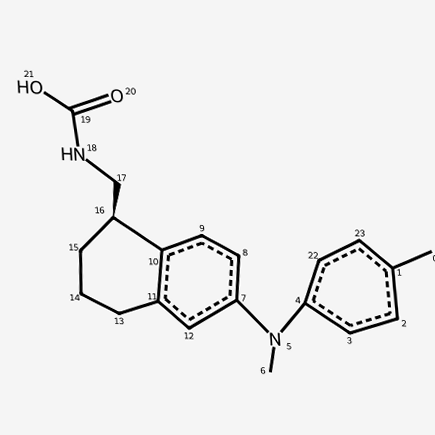 Cc1ccc(N(C)c2ccc3c(c2)CCC[C@H]3CNC(=O)O)cc1